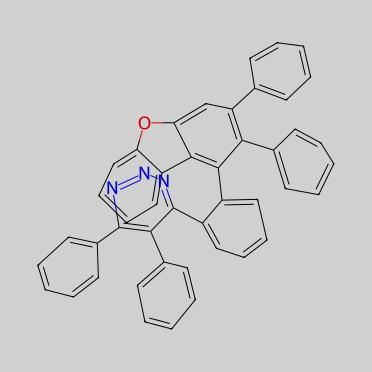 c1ccc(-c2cc3oc4ccccc4c3c(-c3ccccc3-c3nnnc(-c4ccccc4)c3-c3ccccc3)c2-c2ccccc2)cc1